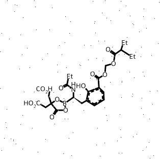 CCC(=O)N[C@@H](Cc1cccc(C(=O)OCOC(=O)C(CC)CC)c1O)B1OC(=O)C(CC(=O)O)(CC(=O)O)O1